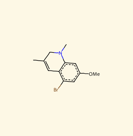 COc1cc(Br)c2c(c1)N(C)CC(C)=C2